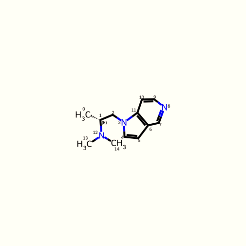 C[C@H](Cn1ccc2cnccc21)N(C)C